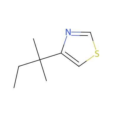 CCC(C)(C)c1cscn1